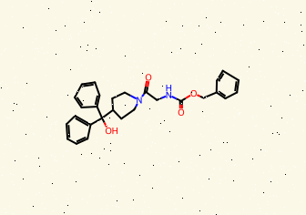 O=C(NCC(=O)N1CCC(C(O)(c2ccccc2)c2ccccc2)CC1)OCc1ccccc1